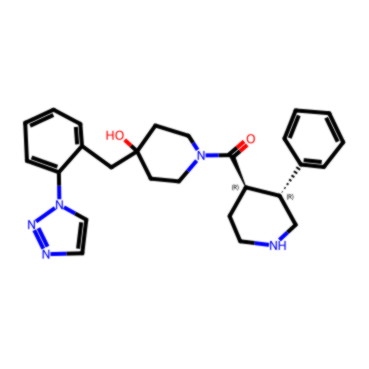 O=C([C@@H]1CCNC[C@H]1c1ccccc1)N1CCC(O)(Cc2ccccc2-n2ccnn2)CC1